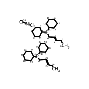 CCC=CCP(C1CCCCC1)C1CCCCC1.CCC=CCP(C1CCCCC1)C1CCCCC1.[Cl][Ni][Cl]